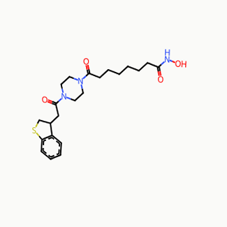 O=C(CCCCCCC(=O)N1CCN(C(=O)CC2CSc3ccccc32)CC1)NO